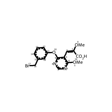 COC(=Cc1c(OC)ncnc1Oc1cccc(CBr)c1)C(=O)O